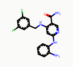 NC(=O)c1cnc(Nc2ccccc2N)cc1NCc1cc(F)cc(F)c1